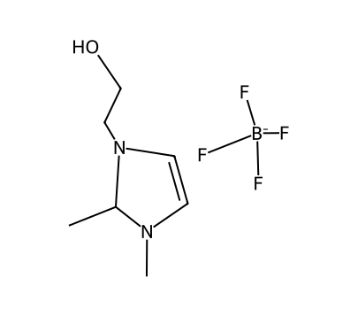 CC1N(C)C=CN1CCO.F[B-](F)(F)F